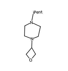 CCCC(C)N1CCN(C2COC2)CC1